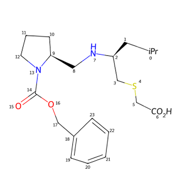 CC(C)C[C@@H](CSCC(=O)O)NC[C@@H]1CCCN1C(=O)OCc1ccccc1